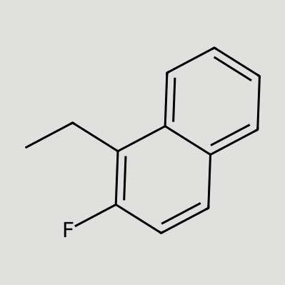 CCc1c(F)ccc2ccccc12